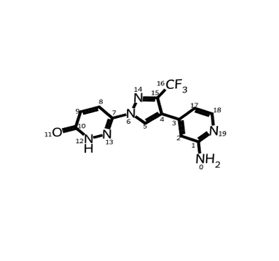 Nc1cc(-c2cn(-c3ccc(=O)[nH]n3)nc2C(F)(F)F)ccn1